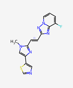 Cn1cc(-c2cncs2)nc1/C=C/c1nc2c(F)cccn2n1